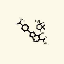 CC1(C)[C@H](Nc2c(C(N)=O)cnn3cc(-c4ccc(C(N)=O)cc4)cc23)CC[C@]1(C)N